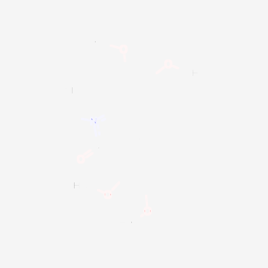 CCn1c(=O)c2c(OC)c(OC)ccc2c2cc(OC)c(OC)cc21